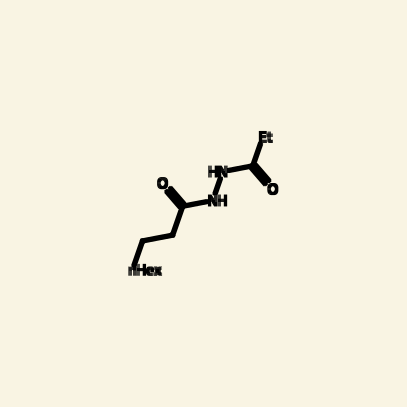 CCCCCCCCC(=O)NNC(=O)CC